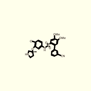 COc1cc(-c2cccc(C#N)c2)c(S(=O)(=O)Nc2ccc(Cl)c(O[C@]3(C)CCNC3)c2)cc1OC